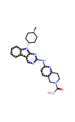 C[C@H]1CC[C@H](n2c3ccccc3c3cnc(Nc4ccc5c(n4)CCN(C(=O)C(=O)O)C5)nc32)CC1